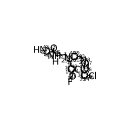 NC1(C(=O)NCCCn2cc(-c3ccc(OCF)cc3)c3cc(CN4CCN(Cc5c(Cl)cccc5Cl)CC4)ccc32)CCNCC1